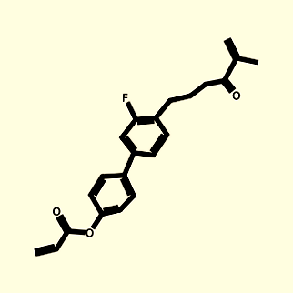 C=CC(=O)Oc1ccc(-c2ccc(CCCC(=O)C(=C)C)c(F)c2)cc1